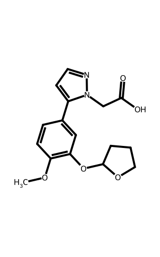 COc1ccc(-c2ccnn2CC(=O)O)cc1OC1CCCO1